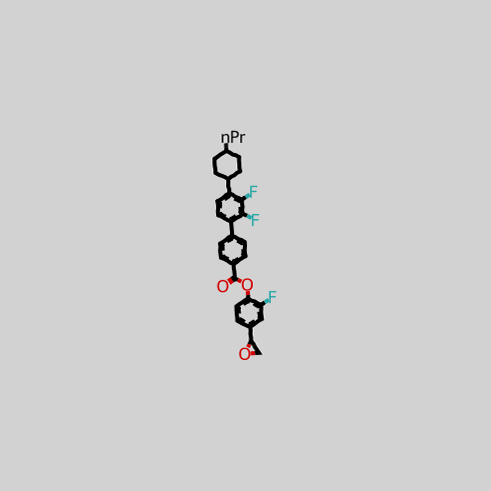 CCCC1CCC(c2ccc(-c3ccc(C(=O)Oc4ccc(C5CO5)cc4F)cc3)c(F)c2F)CC1